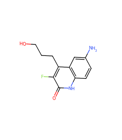 Nc1ccc2[nH]c(=O)c(F)c(CCCO)c2c1